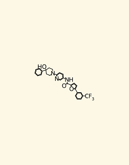 O=C(Nc1ccc(N2CCC(O)(c3ccccc3)CC2)nc1)c1ccc(-c2cccc(C(F)(F)F)c2)o1